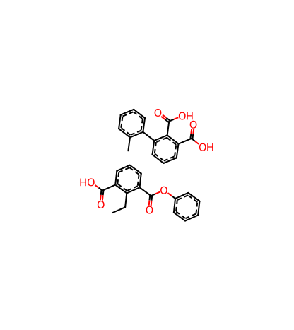 CCc1c(C(=O)O)cccc1C(=O)Oc1ccccc1.Cc1ccccc1-c1cccc(C(=O)O)c1C(=O)O